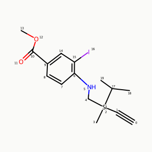 C#C[Si](C)(CNc1ccc(C(=O)OC)cc1I)C(C)C